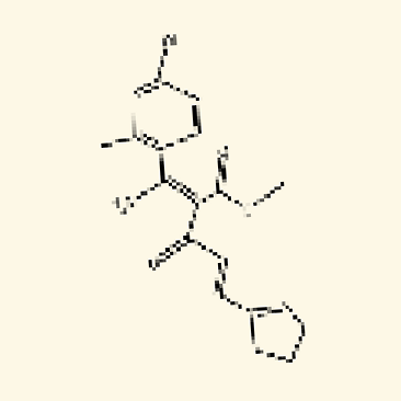 COC(=O)/C(C(=O)/C=C/C1=CCCC1)=C(/N)c1ccc(O)cc1C